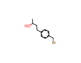 CC(O)CCc1ccc(CBr)cc1